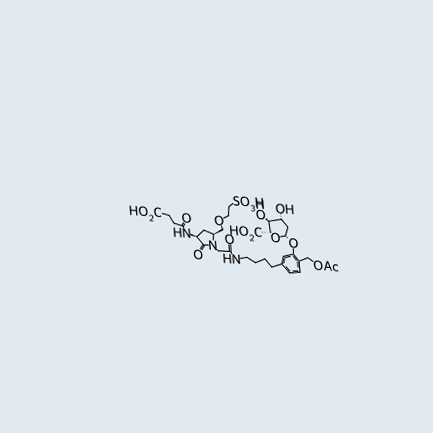 CC(=O)OCc1ccc(CCCCNC(=O)CN2C(=O)[C@@H](NC(=O)CCC(=O)O)C[C@H]2COCCS(=O)(=O)O)cc1O[C@H]1C[C@@H](O)[C@H](O)[C@@H](C(=O)O)O1